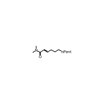 CCCCCCCC/C=C/C(=O)N(C)C